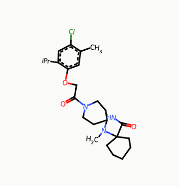 Cc1cc(OCC(=O)N2CCC3(CC2)NC(=O)C2(CCCCC2)N3C)c(C(C)C)cc1Cl